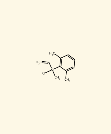 C=C[Si](C)(Cl)c1c(C)cccc1C